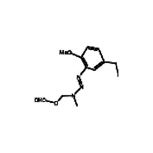 COc1ccc(CI)cc1/N=N/N(C)COC=O